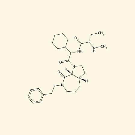 CC[C@H](NC)C(=O)N[C@H](C(=O)N1CC[C@@H]2CCCN(CCc3ccccc3)C(=O)[C@@H]21)C1CCCCC1